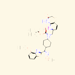 CON=C(c1nc2c(OC)cccc2s1)C1CCC(N(Cc2ccc3c(n2)NC(=O)CS3)C(=O)OC(C)(C)C)CC1